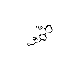 Cc1ccccc1-c1ccc(CC(O)CCl)cc1